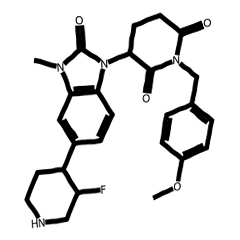 COc1ccc(CN2C(=O)CCC(n3c(=O)n(C)c4cc(C5CCNCC5F)ccc43)C2=O)cc1